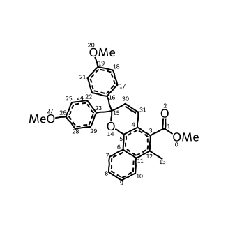 COC(=O)c1c2c(c3ccccc3c1C)OC(c1ccc(OC)cc1)(c1ccc(OC)cc1)C=C2